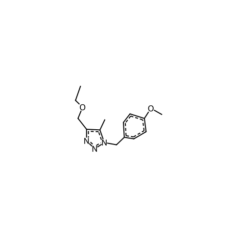 CCOCc1nnn(Cc2ccc(OC)cc2)c1C